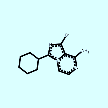 Nc1nccn2c(C3CCCCC3)nc(Br)c12